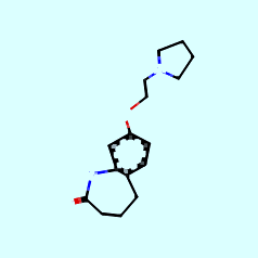 O=C1CCCc2ccc(OCCN3CCCC3)cc2N1